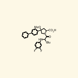 CO[C@@]1(c2ccc(-c3ccccc3)cc2)C[C@@H](C(=O)O)N(C(=O)C(Nc2ccc(F)c(F)c2)C(C)(C)C)C1